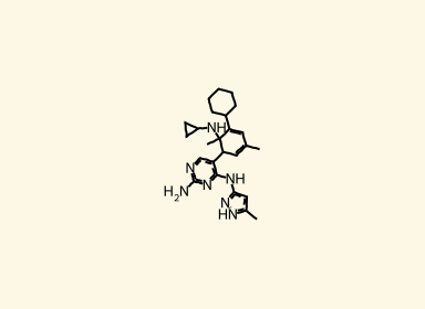 CC1=CC(c2cnc(N)nc2Nc2cc(C)[nH]n2)C(C)(NC2CC2)C(C2CCCCC2)=C1